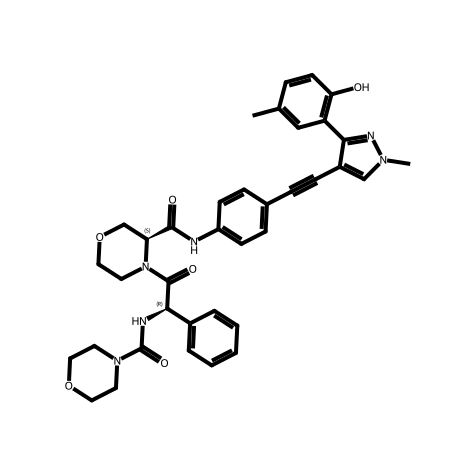 Cc1ccc(O)c(-c2nn(C)cc2C#Cc2ccc(NC(=O)[C@@H]3COCCN3C(=O)[C@H](NC(=O)N3CCOCC3)c3ccccc3)cc2)c1